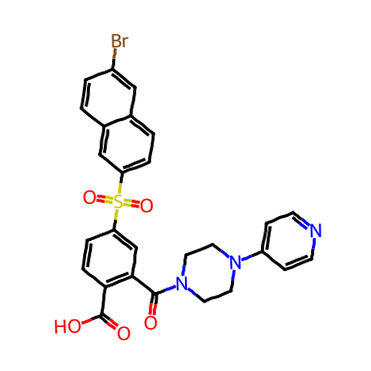 O=C(O)c1ccc(S(=O)(=O)c2ccc3cc(Br)ccc3c2)cc1C(=O)N1CCN(c2ccncc2)CC1